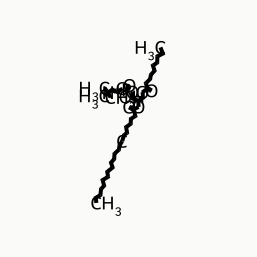 CCCCCCCCCCCCCCCCCCCCCC(=O)OC(COC(=O)CCCCCCCCC)COP(=O)(O)OCC[N+](C)(C)C